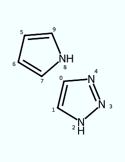 c1c[nH]nn1.c1cc[nH]c1